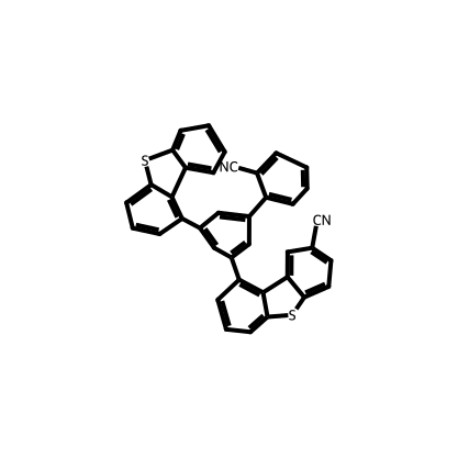 N#Cc1ccc2sc3cccc(-c4cc(-c5ccccc5C#N)cc(-c5cccc6sc7ccccc7c56)c4)c3c2c1